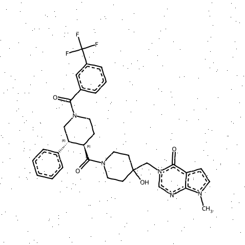 Cn1ccc2c(=O)n(CC3(O)CCN(C(=O)[C@@H]4CCN(C(=O)c5cccc(C(F)(F)F)c5)C[C@H]4c4ccccc4)CC3)cnc21